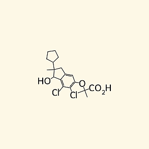 CC(C)(Oc1cc2c(c(Cl)c1Cl)C(O)C(C)(C1CCCC1)C2)C(=O)O